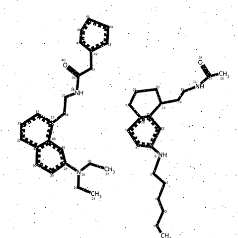 CCCCCCNc1ccc2c(c1)C(CCNC(C)=O)CCC2.CCN(CC)c1ccc2cccc(CCNC(=O)Cc3ccccc3)c2c1